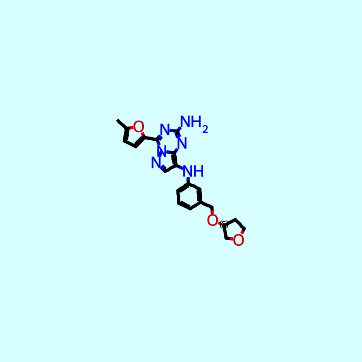 Cc1ccc(-c2nc(N)nc3c(Nc4cccc(CO[C@H]5CCOC5)c4)cnn23)o1